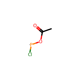 CC(=O)O[P]Cl